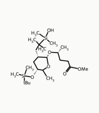 COC(=O)CC[C@@H](C)O[C@@H]1OC(C)[C@H](O[Si](C)(C)C(C)(C)C)C[C@@H]1CC(C)(C)[Si](C)(C)O